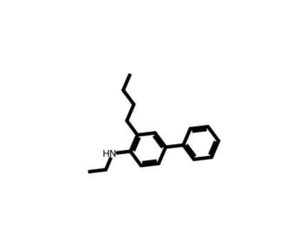 CCCCc1cc(-c2ccccc2)ccc1NCC